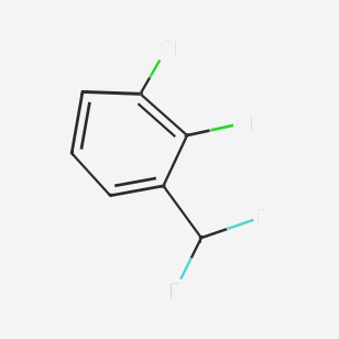 F[C](F)c1cccc(Cl)c1Cl